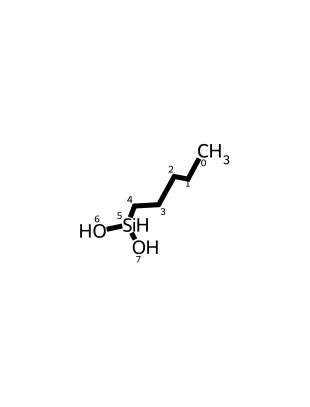 CCCCC[SiH](O)O